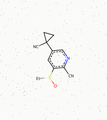 CC[S@@+]([O-])c1cc(C2(C#N)CC2)cnc1C#N